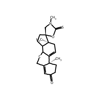 CN1C[C@@]2(CCC3C4CCC5=CC(=O)CC[C@]5(C)C4=CC[C@@]32C)OC1=S